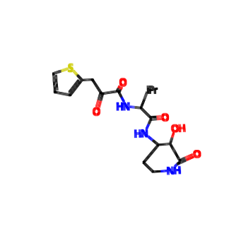 CC(C)C(NC(=O)C(=O)Cc1cccs1)C(=O)NC1CCNC(=O)C1O